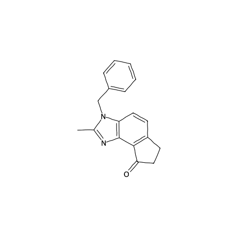 Cc1nc2c3c(ccc2n1Cc1ccccc1)CCC3=O